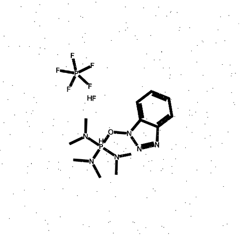 CN(C)[PH](On1nnc2ccccc21)(N(C)C)N(C)C.F.FP(F)(F)(F)F